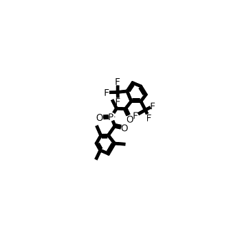 Cc1cc(C)c(C(=O)[P](=O)C(C)C(=O)c2c(C(F)(F)F)cccc2C(F)(F)F)c(C)c1